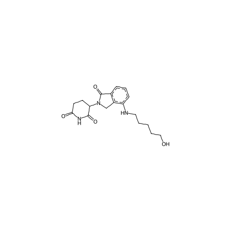 O=C1CCC(N2Cc3c(NCCCCCO)cccc3C2=O)C(=O)N1